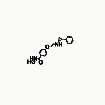 O=C(NO)c1ccc(OCCNC2CC2c2ccccc2)cc1